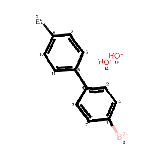 [B+2]c1ccc(-c2ccc(CC)cc2)cc1.[OH-].[OH-]